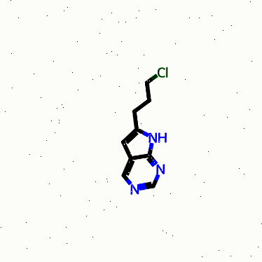 ClCCCc1cc2cncnc2[nH]1